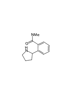 CNC(=O)c1ccccc1C1CCCN1